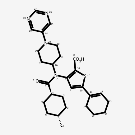 C[C@H]1CC[C@H](C(=O)N(c2cc(C3=CCCCC3)sc2C(=O)O)C2CCN(c3cncnc3)CC2)CC1